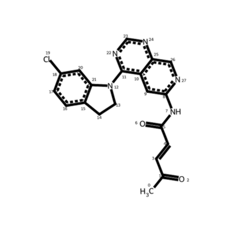 CC(=O)C=CC(=O)Nc1cc2c(N3CCc4ccc(Cl)cc43)ncnc2cn1